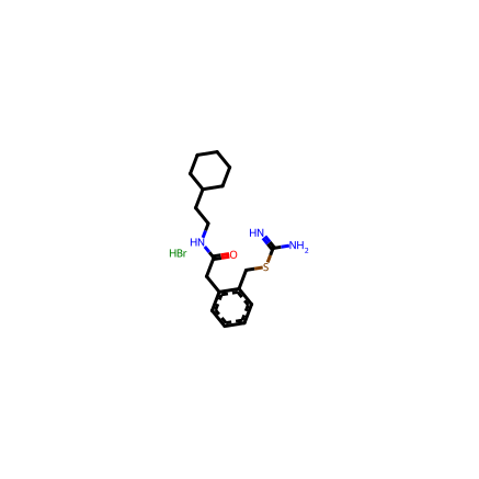 Br.N=C(N)SCc1ccccc1CC(=O)NCCC1CCCCC1